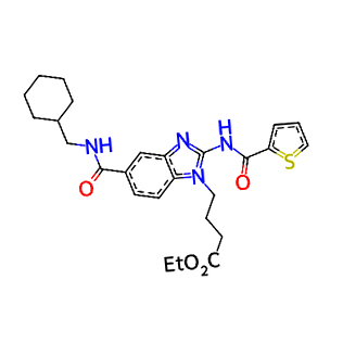 CCOC(=O)CCCn1c(NC(=O)c2cccs2)nc2cc(C(=O)NCC3CCCCC3)ccc21